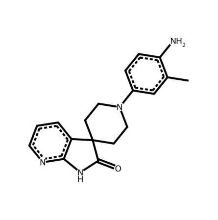 Cc1cc(N2CCC3(CC2)C(=O)Nc2ncccc23)ccc1N